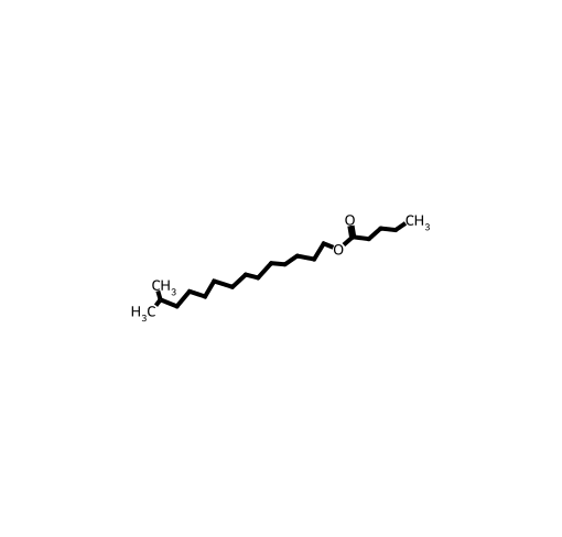 CCCCC(=O)OCCCCCCCCCCCCC(C)C